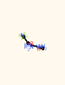 NC(Cc1ccccc1)C(=O)NCCCCC(N)C(=O)Nc1ccc(C#Cc2c(F)c(F)nc(F)c2F)cc1